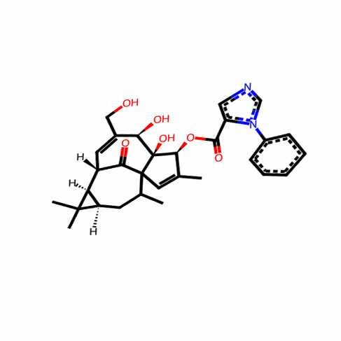 CC1=CC23C(=O)[C@@H](C=C(CO)[C@@H](O)[C@]2(O)[C@H]1OC(=O)c1cncn1-c1ccccc1)[C@H]1[C@@H](CC3C)C1(C)C